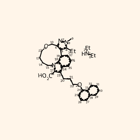 CCNCC.CCc1c2c(nn1C)COCCCCn1c(C(=O)O)c(CCCOc3cccc4ccccc34)c3cccc-2c31